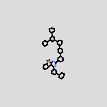 C[Si]1(C)c2ccccc2-c2c(-c3cccc(-c4ccccc4)c3)nc(-c3cccc(-c4ccc(-c5cccc(-c6cc(-c7ccccc7)cc(-c7ccccc7)c6)c5)cc4)c3)nc21